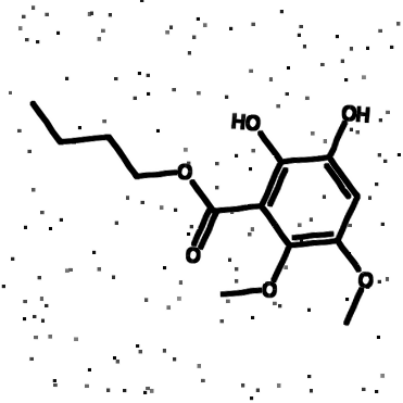 CCCCOC(=O)c1c(O)c(O)cc(OC)c1OC